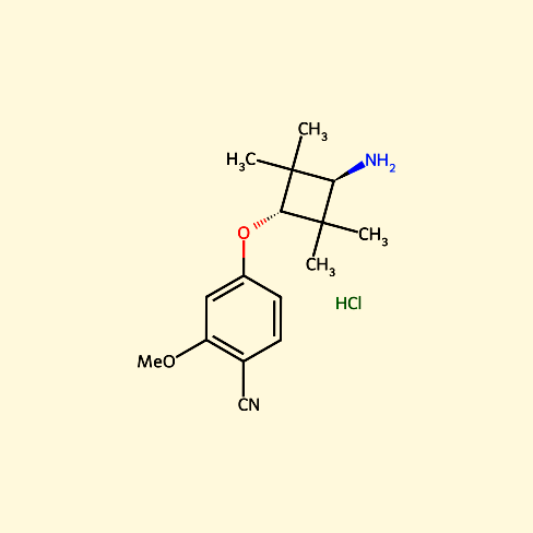 COc1cc(O[C@H]2C(C)(C)[C@H](N)C2(C)C)ccc1C#N.Cl